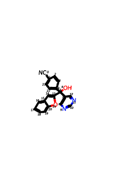 N#Cc1ccc(C(O)(c2cncnc2)c2cc3ccccc3o2)cc1